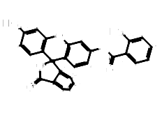 O=C(Oc1ccc2c(c1)Oc1cc(O)ccc1C21OC(=O)c2ccccc21)c1ccccc1S